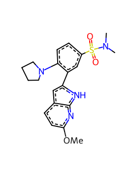 COc1ccc2cc(-c3cc(S(=O)(=O)N(C)C)ccc3N3CCCC3)[nH]c2n1